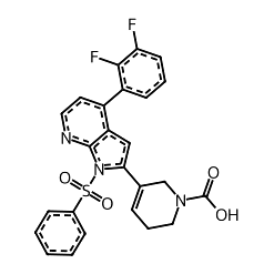 O=C(O)N1CCC=C(c2cc3c(-c4cccc(F)c4F)ccnc3n2S(=O)(=O)c2ccccc2)C1